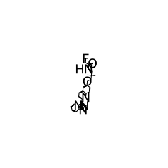 CC(C)(CNC(=O)CF)COc1ccc2nc(-c3nnc4ccccn34)ccc2c1